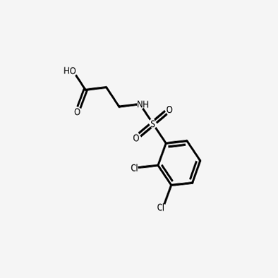 O=C(O)CCNS(=O)(=O)c1cccc(Cl)c1Cl